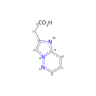 O=C(O)Cc1cn2ncccc2n1